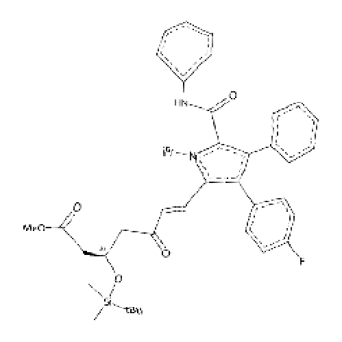 COC(=O)C[C@@H](CC(=O)C=Cc1c(-c2ccc(F)cc2)c(-c2ccccc2)c(C(=O)Nc2ccccc2)n1C(C)C)O[Si](C)(C)C(C)(C)C